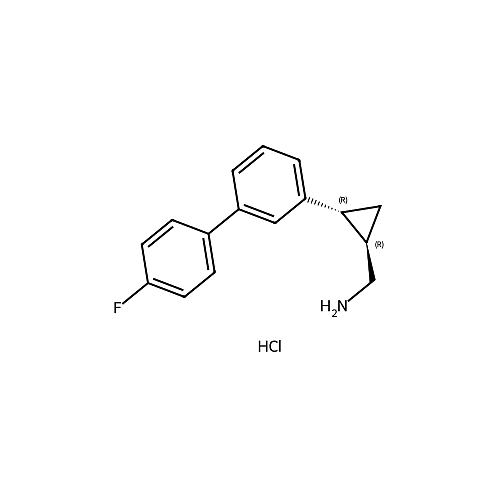 Cl.NC[C@@H]1C[C@H]1c1cccc(-c2ccc(F)cc2)c1